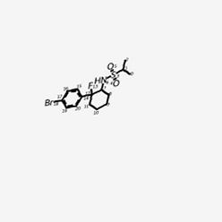 CC(C)S(=O)(=O)NC1CCCCC1(F)c1ccc(Br)cc1